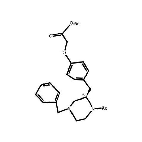 COC(=O)COc1ccc(C[C@@H]2CN(Cc3ccccc3)CCN2C(C)=O)cc1